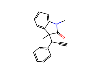 C#CC(c1ccccc1)C1(C)C(=O)N(C)c2ccccc21